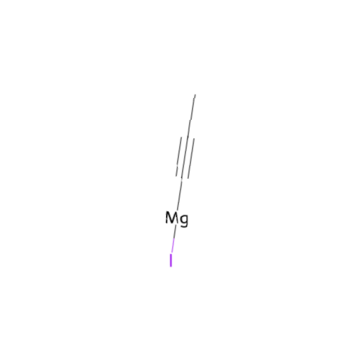 CC#[C][Mg][I]